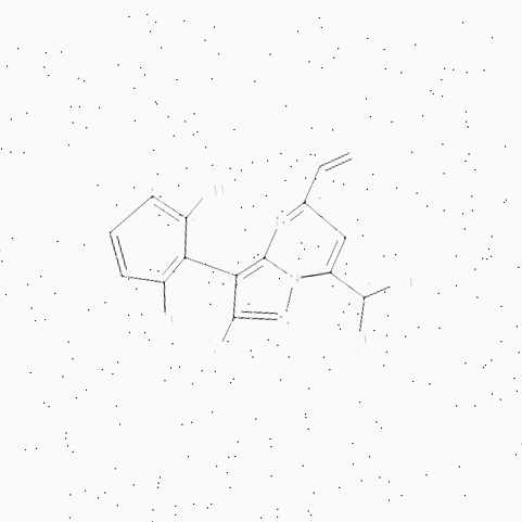 Cc1cccc(C)c1-c1c(C)nn2c(C(C)C)cc(C=O)nc12